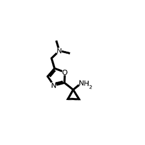 CN(C)Cc1cnc(C2(N)CC2)o1